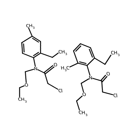 CCOCN(C(=O)CCl)c1c(C)cccc1CC.CCOCN(C(=O)CCl)c1ccc(C)cc1CC